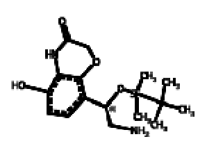 CC(C)(C)[Si](C)(C)O[C@@H](CN)c1ccc(O)c2c1OCC(=O)N2